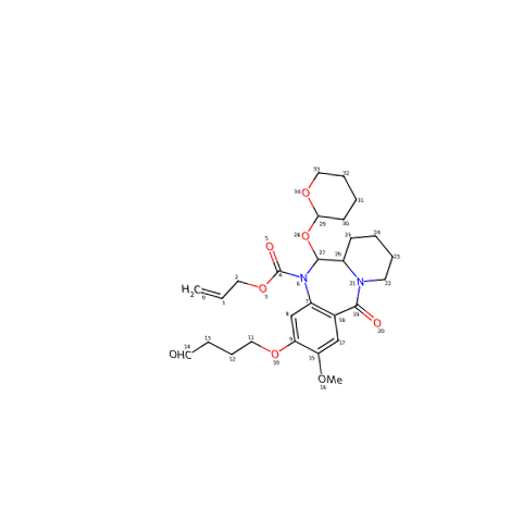 C=CCOC(=O)N1c2cc(OCCCC=O)c(OC)cc2C(=O)N2CCCCC2C1OC1CCCCO1